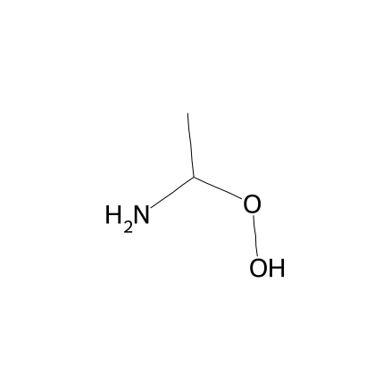 CC(N)OO